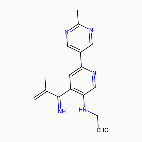 C=C(C)C(=N)c1cc(-c2cnc(C)nc2)ncc1NCC=O